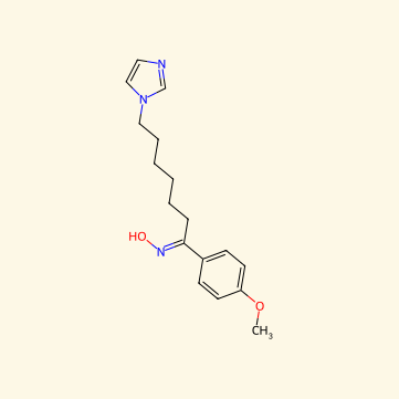 COc1ccc(C(CCCCCCn2ccnc2)=NO)cc1